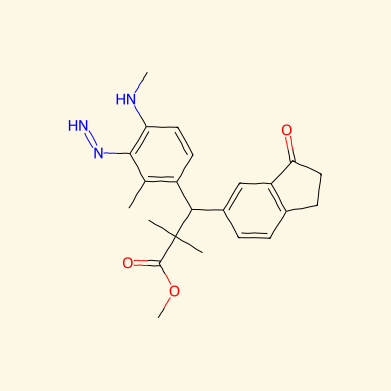 CNc1ccc(C(c2ccc3c(c2)C(=O)CC3)C(C)(C)C(=O)OC)c(C)c1N=N